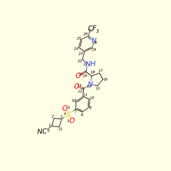 N#CC1CC(S(=O)(=O)c2cccc(C(=O)N3CCCC3C(=O)NCc3ccc(C(F)(F)F)nc3)c2)C1